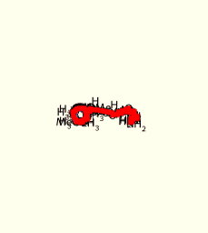 CO[C@H]1C[C@@H]2CC[C@@H](C)[C@@](O)(O2)C(=O)C(=O)N2CCCC[C@H]2C(=O)O[C@H]([C@H](C)C[C@@H]2CC[C@@H](OC(=O)NCCOCCOCCOCCOCCC(=O)NCc3cnc(N4CCN(c5ncc(C(=O)N6CCc7cc(Cn8nc(-c9cnc%10[nH]c(N)cc%10c9)c9c(N)ncnc98)ccc7C6)cn5)CC4)nc3)[C@H](OC)C2)CC(=O)[C@H](C)/C=C(\C)[C@@H](O)[C@@H](O)C(=O)[C@H](C)C[C@H](C)/C=C/C=C/C=C/1C